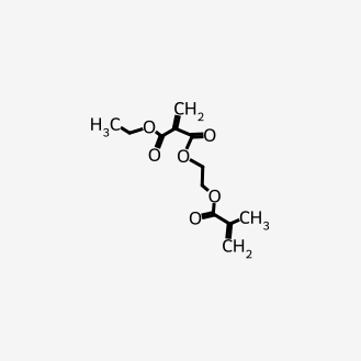 C=C(C)C(=O)OCCOC(=O)C(=C)C(=O)OCC